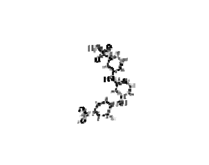 Cc1cc([N+](=O)[O-])ccc1Nc1ccnc(Nc2cccc(S(N)(=O)=O)c2)c1